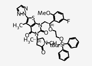 COc1ccc(F)cc1[C@H](Cn1c(=O)n([C@]2(C)CC(=O)N(C)C2)c(=O)c2c(C)c(-n3nccn3)sc21)OCCO[Si](c1ccccc1)(c1ccccc1)C(C)(C)C